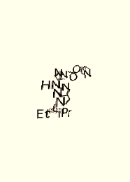 CC[C@H](Cn1ccc2cnc(Nc3cnn(CC(=O)O[C@H]4CCN(C)C4)c3)nc21)C(C)C